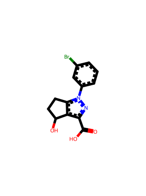 O=C(O)c1nn(-c2cccc(Br)c2)c2c1C(O)CC2